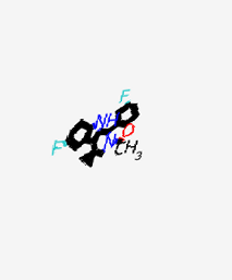 CC(=O)N1CC2(CC2)c2c([nH]c3ccc(F)cc23)C1c1cccc(F)c1